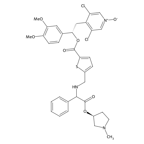 COc1ccc([C@H](Cc2c(Cl)c[n+]([O-])cc2Cl)OC(=O)c2ccc(CNC(C(=O)O[C@H]3CCN(C)C3)c3ccccc3)s2)cc1OC